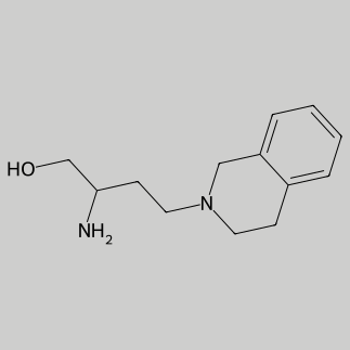 NC(CO)CCN1CCc2ccccc2C1